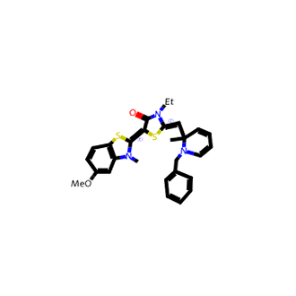 CCn1c(=O)/c(=C2\Sc3ccc(OC)cc3N2C)s/c1=C\C1(C)C=CC=CN1Cc1ccccc1